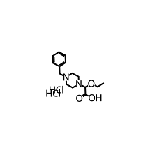 CCOC(C(=O)O)N1CCN(Cc2ccccc2)CC1.Cl.Cl